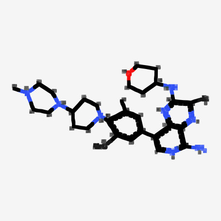 CCc1nc2c(N)ncc(-c3cc(C)c(N4CCC(N5CCN(C)CC5)CC4)c(OC)c3)c2nc1NC1CCOCC1